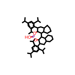 CC(C)c1cc(C(C)C)c(C2CC3CCCCC3C3C2OP(O)OC2C(c4c(C(C)C)cc(C(C)C)cc4C(C)C)CC4CCCCC4C23)c(C(C)C)c1